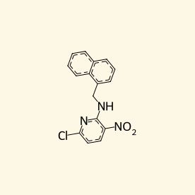 O=[N+]([O-])c1ccc(Cl)nc1NCc1cccc2ccccc12